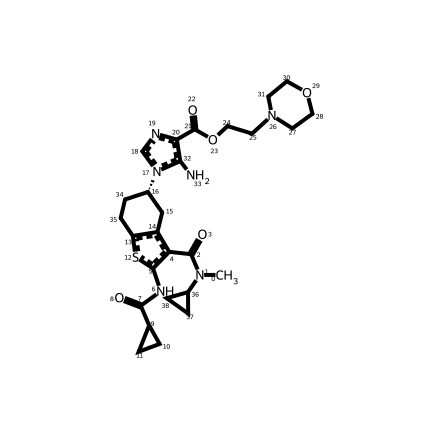 CN(C(=O)c1c(NC(=O)C2CC2)sc2c1C[C@@H](n1cnc(C(=O)OCCN3CCOCC3)c1N)CC2)C1CC1